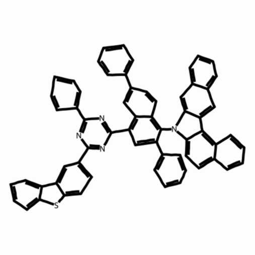 c1ccc(-c2ccc3c(-n4c5cc6ccccc6cc5c5c6ccccc6ccc54)c(-c4ccccc4)cc(-c4nc(-c5ccccc5)nc(-c5ccc6sc7ccccc7c6c5)n4)c3c2)cc1